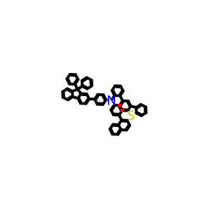 c1ccc(C2(c3ccccc3)c3ccccc3-c3ccc(-c4ccc(N(c5ccc(-c6cccc7ccccc67)cc5)c5ccccc5-c5ccc6sc7ccccc7c6c5)cc4)cc32)cc1